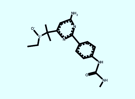 CC[S+]([O-])C(C)(C)c1cc(N)nc(-c2ccc(NC(=O)NC)cc2)n1